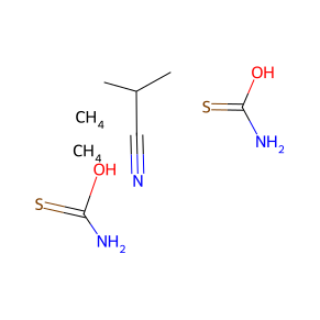 C.C.CC(C)C#N.NC(O)=S.NC(O)=S